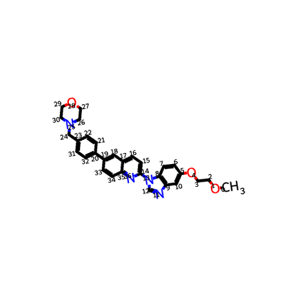 COCCOc1ccc2c(c1)ncn2-c1ccc2cc(-c3ccc(CN4CCOCC4)cc3)ccc2n1